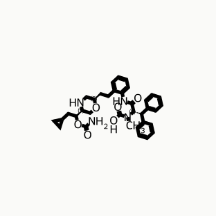 CN(C(=O)O)[C@H](C(=O)Nc1ccccc1CC[C@@H]1CN[C@H](C(CC2CC2)OC(N)=O)CO1)C(c1ccccc1)c1ccccc1